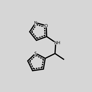 CC(Nc1ccno1)c1cccs1